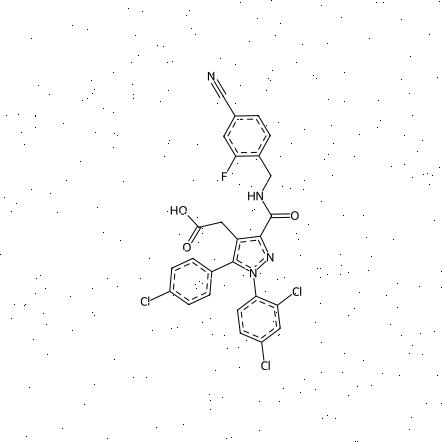 N#Cc1ccc(CNC(=O)c2nn(-c3ccc(Cl)cc3Cl)c(-c3ccc(Cl)cc3)c2CC(=O)O)c(F)c1